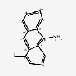 Cc1cccc2c(N)c3ccccc3cc12